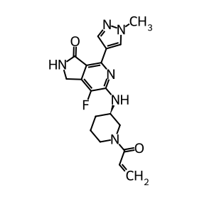 C=CC(=O)N1CCC[C@@H](Nc2nc(-c3cnn(C)c3)c3c(c2F)CNC3=O)C1